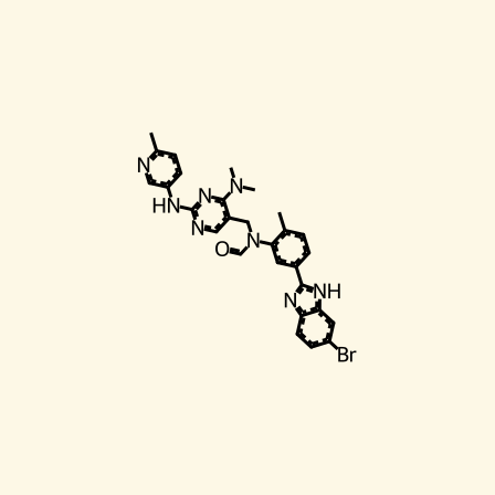 Cc1ccc(Nc2ncc(CN(C=O)c3cc(-c4nc5ccc(Br)cc5[nH]4)ccc3C)c(N(C)C)n2)cn1